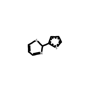 C1=CSC(c2cccs2)N=C1